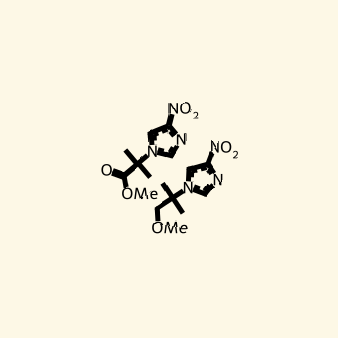 COC(=O)C(C)(C)n1cnc([N+](=O)[O-])c1.COCC(C)(C)n1cnc([N+](=O)[O-])c1